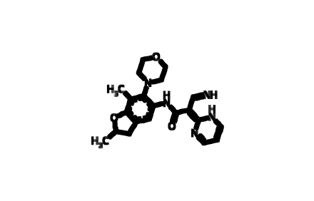 Cc1c2c(cc(NC(=O)/C(C=N)=C3\N=CC=CN3)c1N1CCOCC1)CC(C)O2